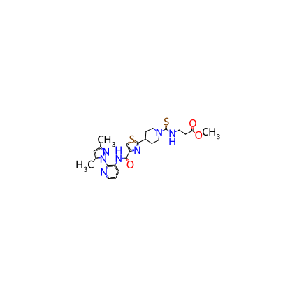 COC(=O)CCNC(=S)N1CCC(c2nc(C(=O)Nc3cccnc3-n3nc(C)cc3C)cs2)CC1